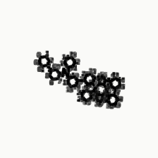 c1ccc(-c2cccc(N(c3ccccc3)c3cccc(-c4cccc5c4-c4ccccc4C54c5ccccc5C5(c6ccccc6-c6ccccc65)c5ccccc54)c3)c2)cc1